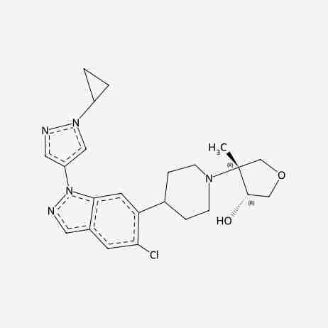 C[C@@]1(N2CCC(c3cc4c(cnn4-c4cnn(C5CC5)c4)cc3Cl)CC2)COC[C@@H]1O